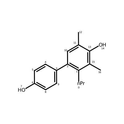 CCCc1c(-c2ccc(O)cc2)cc(C)c(O)c1C